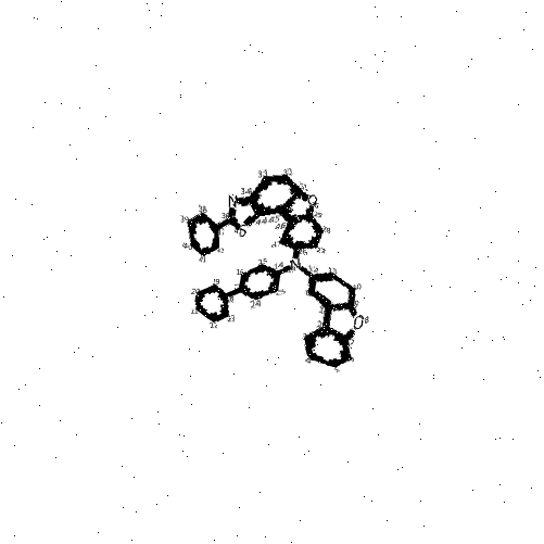 C1=C2c3ccccc3OC2CC=C1N(c1ccc(-c2ccccc2)cc1)c1ccc2oc3ccc4nc(-c5ccccc5)sc4c3c2c1